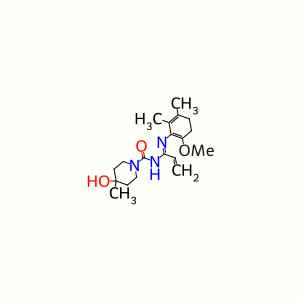 C=C/C(=N\C1=C(OC)CCC(C)=C1C)NC(=O)N1CCC(C)(O)CC1